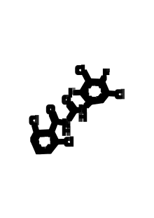 O=C(NC(=O)c1c(Cl)cccc1Cl)Nc1cc(Cl)c(F)c(Cl)c1F